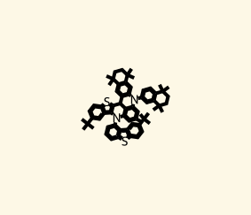 Cc1cc2c3c(c1)N(c1cccc4sc5ccc(C(C)(C)C)cc5c14)c1c(sc4ccc(C(C)(C)C)cc14)C3c1cc3c(cc1N2c1ccc2c(c1)C(C)(C)CCC2(C)C)C(C)(C)CCC3(C)C